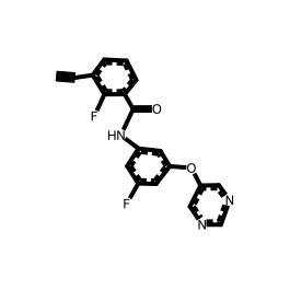 C#Cc1cccc(C(=O)Nc2cc(F)cc(Oc3cncnc3)c2)c1F